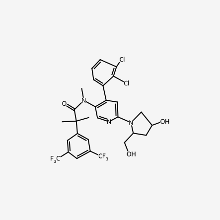 CN(C(=O)C(C)(C)c1cc(C(F)(F)F)cc(C(F)(F)F)c1)c1cnc(N2CC(O)CC2CO)cc1-c1cccc(Cl)c1Cl